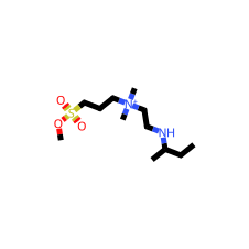 CCC(C)NCC[N+](C)(C)CCCS(=O)(=O)OC